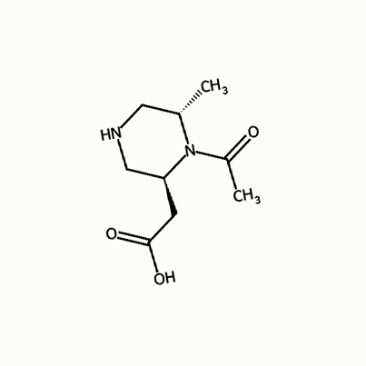 CC(=O)N1[C@@H](CC(=O)O)CNC[C@@H]1C